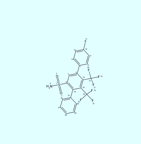 NS(=O)(=O)c1cc(-c2ccc(F)cc2)c(C(F)(F)F)c(C(F)(F)F)c1-c1ccccc1